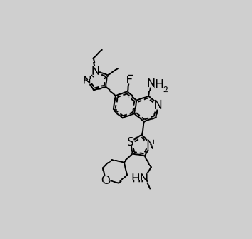 CCn1ncc(-c2ccc3c(-c4nc(CNC)c(C5CCOCC5)s4)cnc(N)c3c2F)c1C